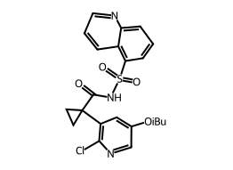 CC(C)COc1cnc(Cl)c(C2(C(=O)NS(=O)(=O)c3cccc4ncccc34)CC2)c1